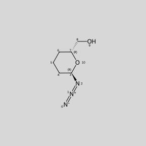 [N-]=[N+]=N[C@H]1CCC[C@H](CO)O1